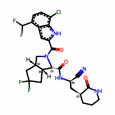 N#C[C@@H](C[C@@H]1CCCNC1=O)NC(=O)[C@@H]1[C@@H]2CC(F)(F)C[C@@H]2CN1C(=O)c1cc2c(C(F)F)ccc(Cl)c2[nH]1